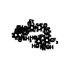 CCOc1cc(N2CCC(C(=O)N3CCN(Cc4ccc(-n5c(O)nnc5-c5cc(C(C)C)c(O)cc5O)cc4C(F)(F)F)CC3)CC2)ccc1Nc1ncc2c(n1)N(S(C)(=O)=O)c1ccccc1C(=O)N2C